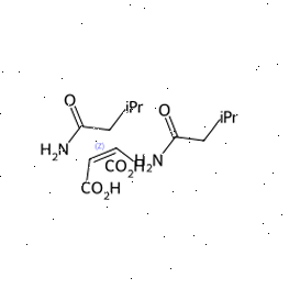 CC(C)CC(N)=O.CC(C)CC(N)=O.O=C(O)/C=C\C(=O)O